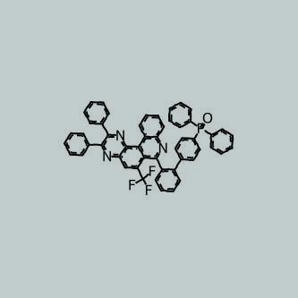 O=P(c1ccccc1)(c1ccccc1)c1ccc(-c2ccccc2-c2nc3ccccc3c3c2c(C(F)(F)F)cc2nc(-c4ccccc4)c(-c4ccccc4)nc23)cc1